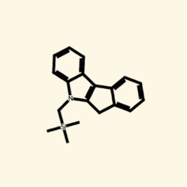 C[Si](C)(C)Cn1c2c(c3ccccc31)-c1ccccc1C2